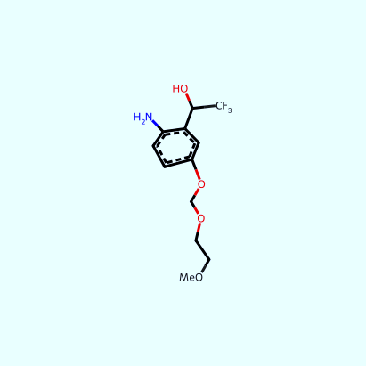 COCCOCOc1ccc(N)c(C(O)C(F)(F)F)c1